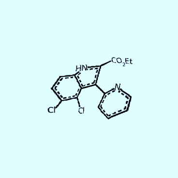 CCOC(=O)c1[nH]c2ccc(Cl)c(Cl)c2c1-c1ccccn1